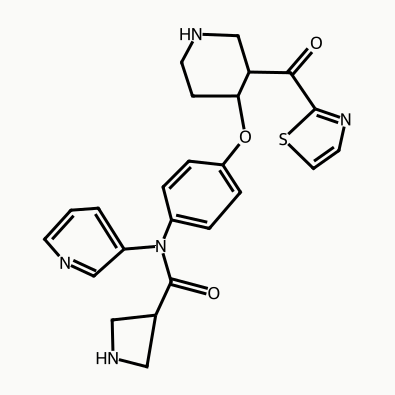 O=C(c1nccs1)C1CNCCC1Oc1ccc(N(C(=O)C2CNC2)c2cccnc2)cc1